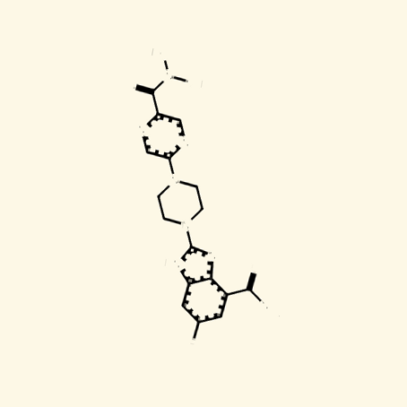 CN(C)C(=O)c1cnc(N2CCN(c3nc4c(C(N)=O)cc(F)cc4[nH]3)CC2)cn1